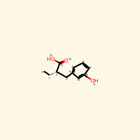 CC[C@@H](Cc1cccc(O)c1)C(=O)O